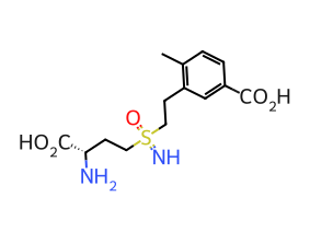 Cc1ccc(C(=O)O)cc1CCS(=N)(=O)CC[C@H](N)C(=O)O